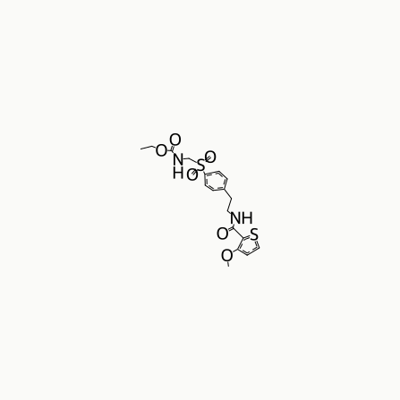 CCOC(=O)NCS(=O)(=O)c1ccc(CCNC(=O)c2sccc2OC)cc1